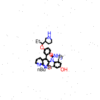 CCCCn1c(=O)c(N(C(N)=O)c2c(C(C)C)cc(O)cc2C(C)C)c(-c2cccc(OC(CC)C3CCCNC3)c2)c2cccnc21